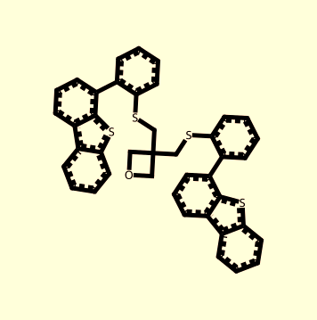 c1ccc(-c2cccc3c2sc2ccccc23)c(SCC2(CSc3ccccc3-c3cccc4c3sc3ccccc34)COC2)c1